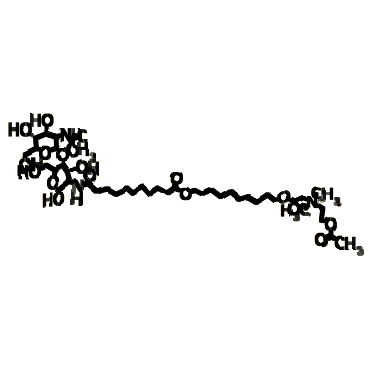 CC(=O)NC1[C@@H](O[C@H]2C(CO)O[C@H](O)C(NC(=O)CCCCCCCCCC(=O)OCCCCCCCCCCOC(=O)C[N+](C)(C)CCOC(C)=O)[C@@H]2O)OC(CO)[C@H](O)[C@H]1O